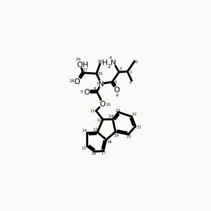 CC(C)C(N)C(=O)N(C(=O)OCC1c2ccccc2-c2ccccc21)C(C)C(=O)O